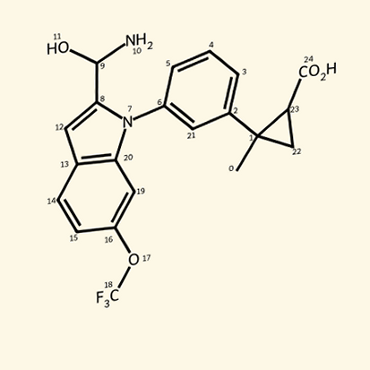 CC1(c2cccc(-n3c(C(N)O)cc4ccc(OC(F)(F)F)cc43)c2)CC1C(=O)O